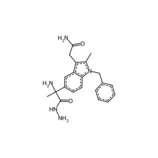 Cc1c(CC(N)=O)c2cc(C(C)(N)C(=O)NN)ccc2n1Cc1ccccc1